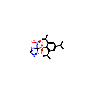 CC(C)c1cc(C(C)C)c(S(=O)(=O)C2([N+](=O)[O-])N=CN=N2)c(C(C)C)c1